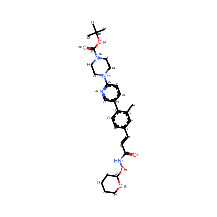 Cc1cc(/C=C/C(=O)NOC2CCCCO2)ccc1-c1ccc(N2CCN(C(=O)OC(C)(C)C)CC2)nc1